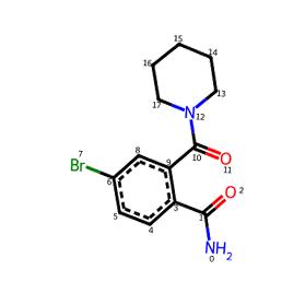 NC(=O)c1ccc(Br)cc1C(=O)N1CCCCC1